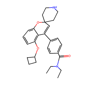 CCN(CC)C(=O)c1ccc(C2=CC3(CCNCC3)Oc3cccc(OC4CCC4)c32)cc1